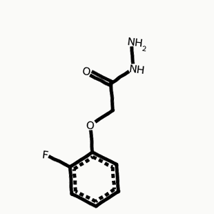 NNC(=O)COc1ccccc1F